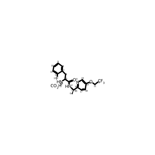 C[C@@H](NC(=O)C(Cc1ccccc1F)NC(=O)O)c1ccc(OCC(F)(F)F)cn1